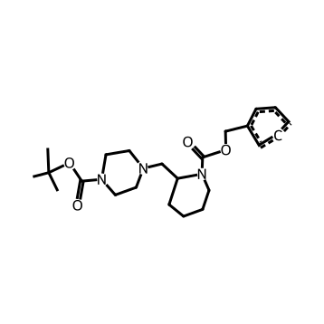 CC(C)(C)OC(=O)N1CCN(CC2CCCCN2C(=O)OCc2ccccc2)CC1